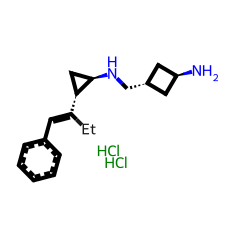 CC/C(=C\c1ccccc1)[C@@H]1C[C@H]1NC[C@H]1C[C@H](N)C1.Cl.Cl